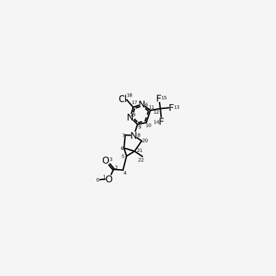 COC(=O)CC1C2CN(c3cc(C(F)(F)F)nc(Cl)n3)CC12C